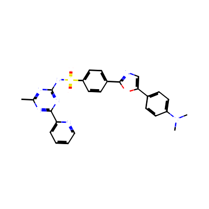 Cc1nc(NS(=O)(=O)c2ccc(-c3ncc(-c4ccc(N(C)C)cc4)o3)cc2)nc(-c2ccccn2)n1